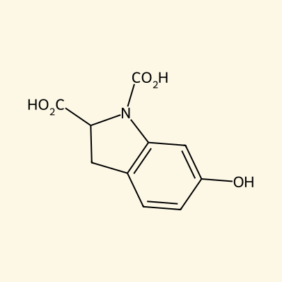 O=C(O)C1Cc2ccc(O)cc2N1C(=O)O